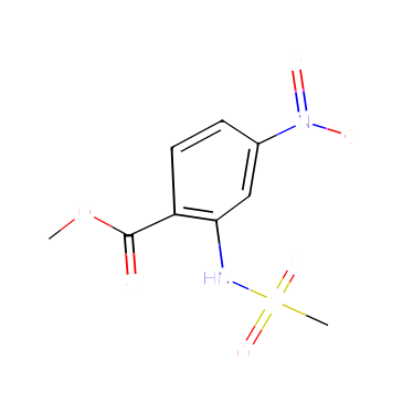 COC(=O)c1ccc([N+](=O)[O-])cc1NS(C)(=O)=O